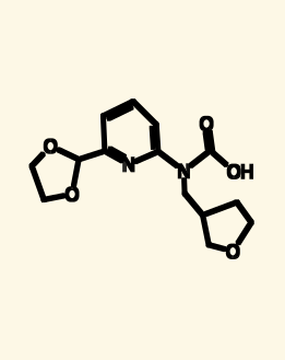 O=C(O)N(CC1CCOC1)c1cccc(C2OCCO2)n1